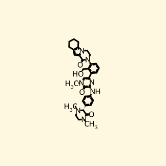 CN1CCN(C)[C@H](c2ccc(Nc3nc(-c4cccc(N5CCn6c(cc7c6CCCC7)C5=O)c4CO)cn(C)c3=O)cc2)C1=O